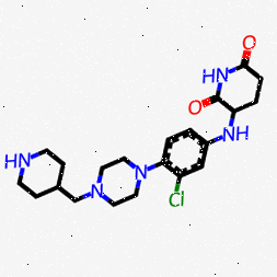 O=C1CCC(Nc2ccc(N3CCN(CC4CCNCC4)CC3)c(Cl)c2)C(=O)N1